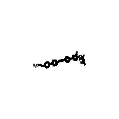 CCCC1CCC(c2ccc(C#Cc3ccc(-c4ccc(OC(F)(F)C=C(F)F)c(F)c4)cc3)cc2)CC1